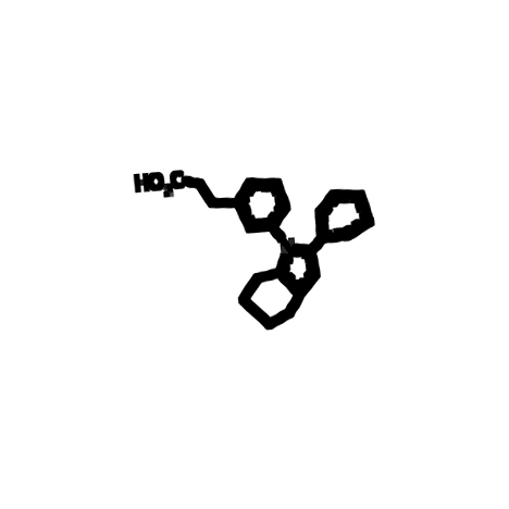 O=C(O)CCc1cccc(-n2c(-c3ccccc3)cc3c2CCCC3)c1